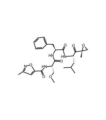 COC[C@H](NC(=O)c1cc(C)no1)C(=O)N[C@@H](Cc1ccccc1)C(=O)N[C@@H](CC(C)C)C(=O)[C@@]1(C)CO1